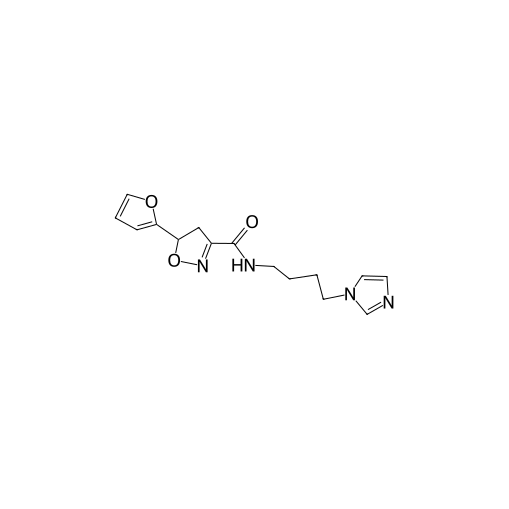 O=C(NCCCCn1ccnc1)C1=NOC(c2ccco2)C1